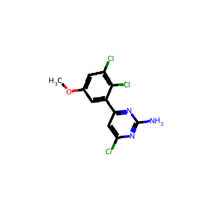 COc1cc(Cl)c(Cl)c(-c2cc(Cl)nc(N)n2)c1